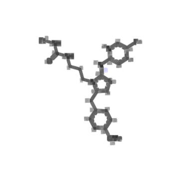 CCNC(=O)NCCCn1c(Cc2ccc(OC)cc2)cs/c1=N\c1ccc(F)cn1